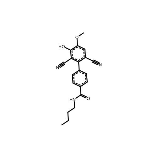 CCCCNC(=O)c1ccc(-c2c(C#N)cc(OC)c(O)c2C#N)cc1